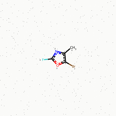 Cc1nc(F)oc1Br